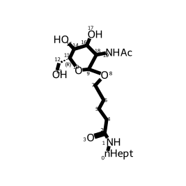 CCCCCCCNC(=O)CCCCOC1O[C@H](CO)C(O)C(O)C1NC(C)=O